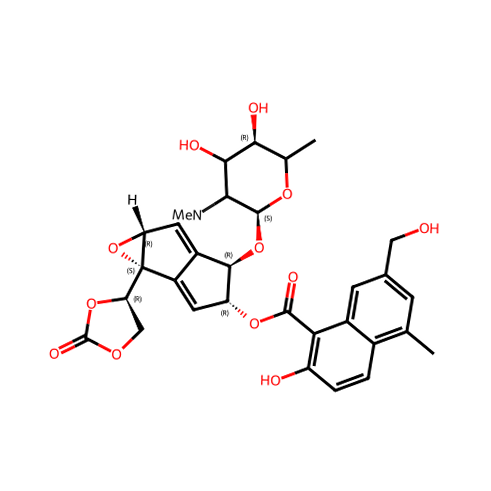 CNC1C(O)[C@@H](O)C(C)O[C@H]1O[C@@H]1C2=C[C@H]3O[C@@]3([C@H]3COC(=O)O3)C2=C[C@H]1OC(=O)c1c(O)ccc2c(C)cc(CO)cc12